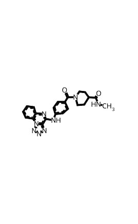 CNC(=O)C1CCN(C(=O)c2ccc(Nc3nc4ccccc4n4nnnc34)cc2)CC1